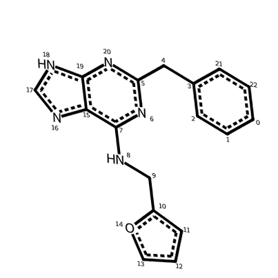 c1ccc(Cc2nc(NCc3ccco3)c3nc[nH]c3n2)cc1